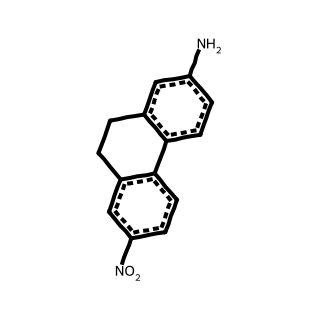 Nc1ccc2c(c1)CCc1cc([N+](=O)[O-])ccc1-2